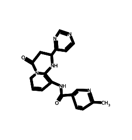 Cc1ccc(C(=O)NC2=C3NC(c4ccncn4)CC(=O)N3CC=C2)cn1